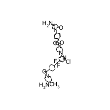 CC1(N)CCN(C(=O)C2CCC(C(F)(F)c3cc(Cl)nc(N4CCN(S(=O)(=O)c5ccc(N6C[C@H](N)CC6=O)cc5)CC4)c3)CC2)CC1